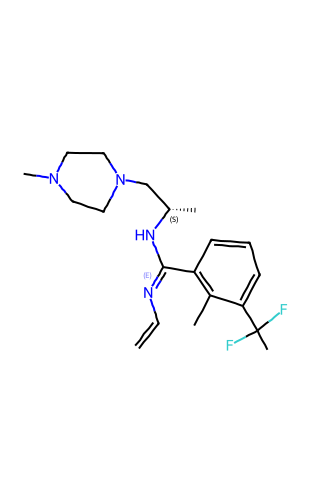 C=C/N=C(/N[C@@H](C)CN1CCN(C)CC1)c1cccc(C(C)(F)F)c1C